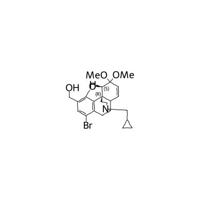 COC1(OC)C=CC2C3Cc4c(Br)cc(CO)c5c4[C@]2(CCN3CC2CC2)[C@@H]1O5